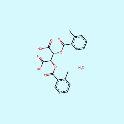 Cc1ccccc1C(=O)O[C@@H](C(=O)O)[C@@H](OC(=O)c1ccccc1C)C(=O)O.O